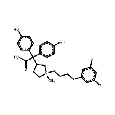 C[N@@+]1(CCCSc2cc(F)cc(F)c2)CCC(C(C(N)=O)(c2ccc(O)cc2)c2ccc(O)cc2)C1